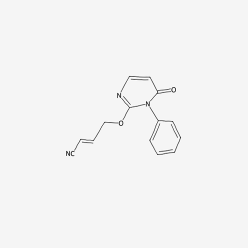 N#CC=CCOc1nccc(=O)n1-c1ccccc1